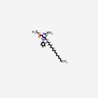 CCCCCCCCCCCCCCCCOc1c2nc(SC)nc(C(=O)OCC)c2nn1-c1ccccc1